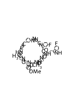 COc1ccc(C[C@@H]2NC(=O)[C@H](C)NC(=O)[C@@H]3CCCN3C(=O)[C@H](NC(=O)CCc3c[nH]c4ccc(F)cc34)Cc3cn(c4ccc(F)cc34)Cc3cn(nn3)-c3cccc(c3)CSCCNC(=O)[C@]3(C)CCCN3C2=O)cc1